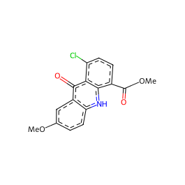 COC(=O)c1ccc(Cl)c2c(=O)c3cc(OC)ccc3[nH]c12